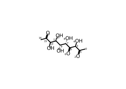 CC(=O)C(O)C(=O)[C@@H](O)[C@H](O)[C@H](O)C(O)C(C)=O